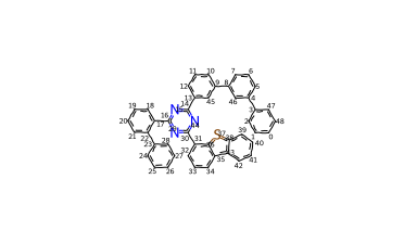 c1ccc(-c2cccc(-c3cccc(-c4nc(-c5ccccc5-c5ccccc5)nc(-c5cccc6c5sc5ccccc56)n4)c3)c2)cc1